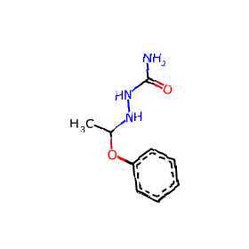 CC(NNC(N)=O)Oc1ccccc1